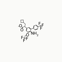 COC(=O)C(CC1CCC1)c1cc(OCC(F)(F)F)c(N)c(-c2ccc(C(F)(F)F)cc2)c1